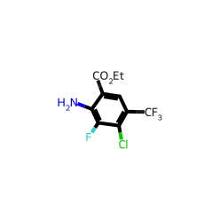 CCOC(=O)c1cc(C(F)(F)F)c(Cl)c(F)c1N